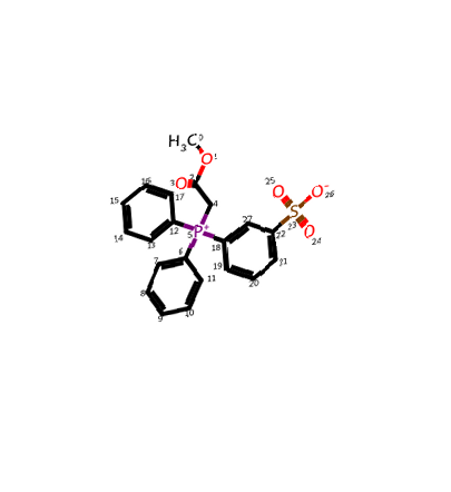 COC(=O)C[P+](c1ccccc1)(c1ccccc1)c1cccc(S(=O)(=O)[O-])c1